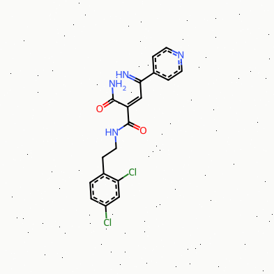 N=C(/C=C(\C(N)=O)C(=O)NCCc1ccc(Cl)cc1Cl)c1ccncc1